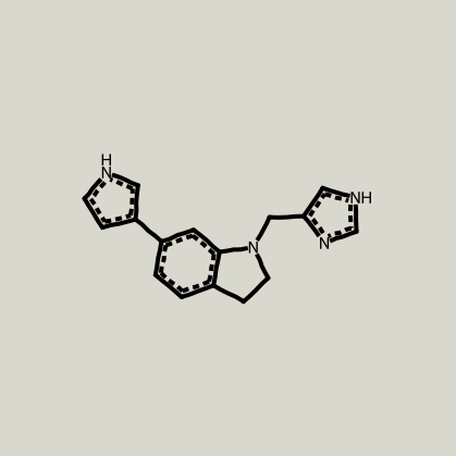 c1cc(-c2ccc3c(c2)N(Cc2c[nH]cn2)CC3)c[nH]1